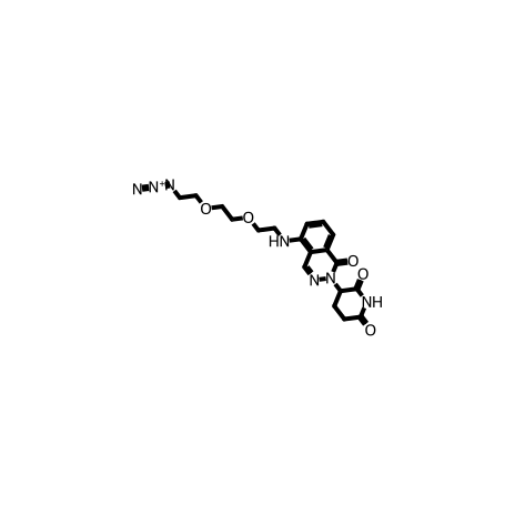 [N-]=[N+]=NCCOCCOCCNc1cccc2c(=O)n(C3CCC(=O)NC3=O)ncc12